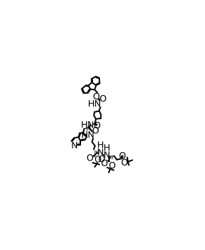 CC(C)(C)OC(=O)CC[C@H](NC(=O)N[C@@H](CCCCNC(=O)[C@@H](Cc1ccc2cnccc2c1)NC(=O)C1CCC(CNC(=O)OCC2c3ccccc3-c3ccccc32)CC1)C(=O)OC(C)(C)C)C(=O)OC(C)(C)C